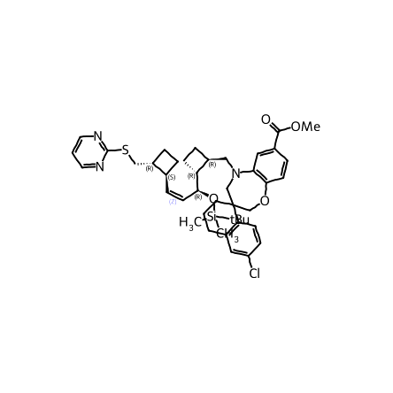 COC(=O)c1ccc2c(c1)N(C[C@@H]1CC[C@H]1[C@H](/C=C\[C@@H]1CC[C@H]1CSc1ncccn1)O[Si](C)(C)C(C)(C)C)CC1(CCCc3cc(Cl)ccc31)CO2